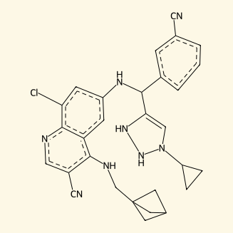 N#Cc1cccc(C(Nc2cc(Cl)c3ncc(C#N)c(NCC45CC(C4)C5)c3c2)C2=CN(C3CC3)NN2)c1